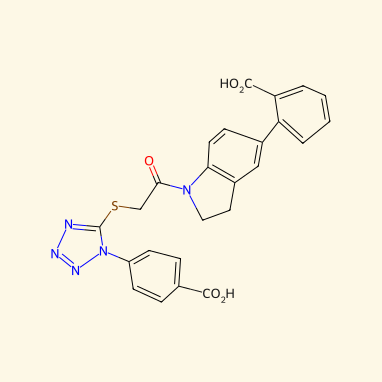 O=C(O)c1ccc(-n2nnnc2SCC(=O)N2CCc3cc(-c4ccccc4C(=O)O)ccc32)cc1